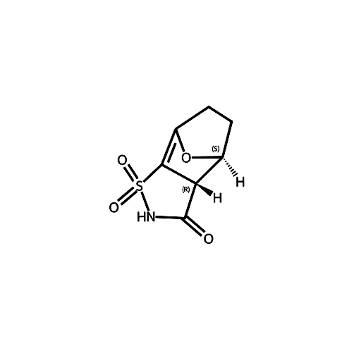 O=C1NS(=O)(=O)C2=C3CC[C@H](O3)[C@H]12